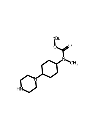 CN(C(=O)OC(C)(C)C)C1CCC(N2CCNCC2)CC1